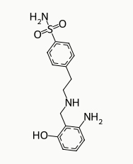 Nc1cccc(O)c1CNCCc1ccc(S(N)(=O)=O)cc1